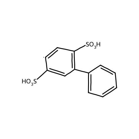 O=S(=O)(O)c1[c]cc(S(=O)(=O)O)c(-c2ccccc2)c1